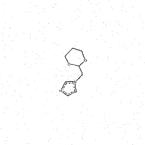 c1cn(CC2OCCCO2)cn1